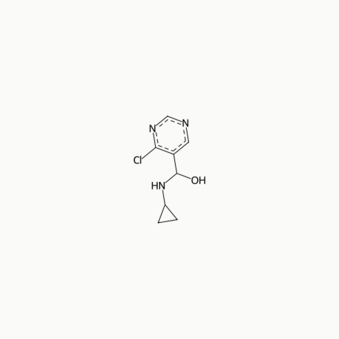 OC(NC1CC1)c1cncnc1Cl